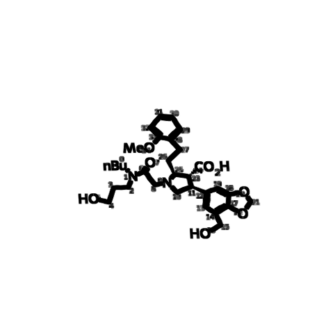 CCCCN(CCCO)C(=O)CN1C[C@H](c2cc(CO)c3c(c2)OCO3)[C@@H](C(=O)O)[C@@H]1CCc1ccccc1OC